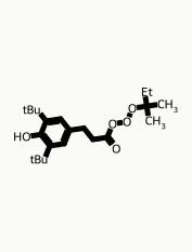 CCC(C)(C)OOOC(=O)CCc1cc(C(C)(C)C)c(O)c(C(C)(C)C)c1